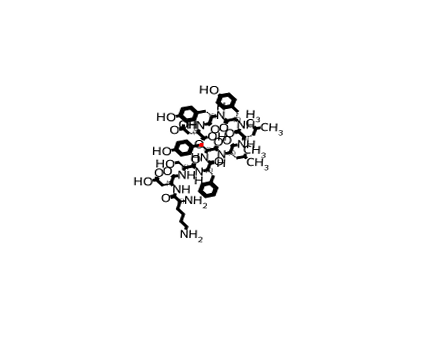 CC(C)C[C@H](NC(=O)[C@H](CC(C)C)NC(=O)[C@H](Cc1ccc(O)cc1)NC(=O)[C@H](Cc1ccccc1)NC(=O)[C@H](CO)NC(=O)[C@H](CC(=O)O)NC(=O)[C@@H](N)CCCCN)C(=O)N[C@@H](Cc1ccc(O)cc1)C(=O)N[C@@H](Cc1ccc(O)cc1)C(=O)N[C@@H](CC(=O)O)C(=O)O